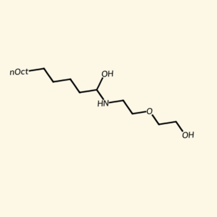 CCCCCCCCCCCCC(O)NCCOCCO